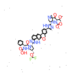 COC(=O)NC(C(=O)C12C[C@H](c3ncc(-c4ccc5c(c4)COc4cc6c(ccc7nc([C@@H]8C[C@H](COC(F)F)CN8C(=O)[C@H](NC(=O)O)c8ccccc8)[nH]c76)cc4-5)[nH]3)CN1C2)C(C)OC